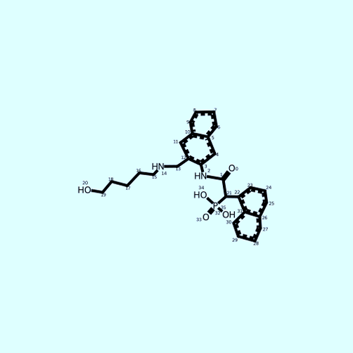 O=C(Nc1cc2ccccc2cc1CNCCCCCO)C(c1cccc2ccccc12)P(=O)(O)O